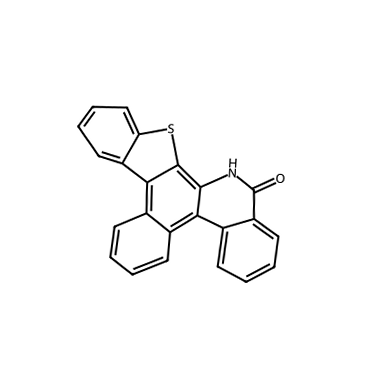 O=c1[nH]c2c3sc4ccccc4c3c3ccccc3c2c2ccccc12